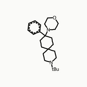 CC(C)(C)N1CCC2(CC1)CCC(c1ccccc1)(N1CCOCC1)CC2